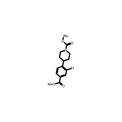 CCc1cc(C(=O)OC)ccc1C1CCN(C(=O)OC(C)(C)C)CC1